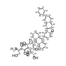 B/C(CO)=C(O)/C(O)=C(CO)/C(C(/O)=C(\C)c1c2ccccc2c(-c2ccc3oc4cc5ccc(-c6ccccc6)cc5cc4c3c2)c2ccccc12)=C(\O)CO